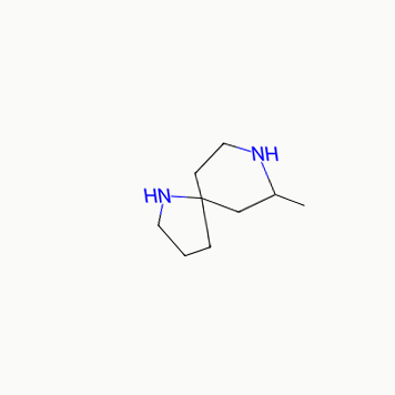 CC1CC2(CCCN2)CCN1